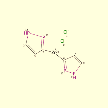 [Cl-].[Cl-].c1c[c]([Zr+2][c]2cc[pH]p2)p[pH]1